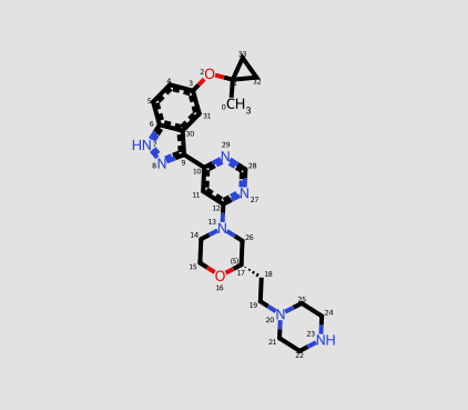 CC1(Oc2ccc3[nH]nc(-c4cc(N5CCO[C@@H](CCN6CCNCC6)C5)ncn4)c3c2)CC1